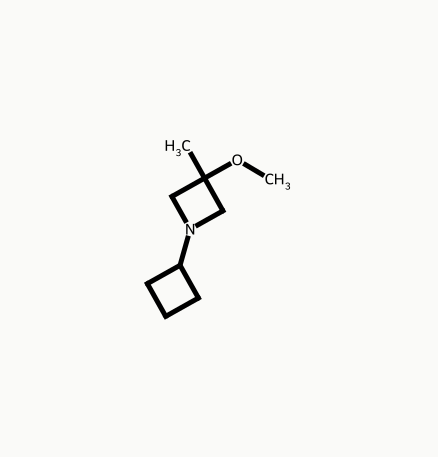 COC1(C)CN(C2CCC2)C1